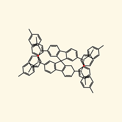 Cc1ccc(N(c2ccc(C)cc2)c2ccc3c(c2)C2(C4=C3C=CC(N(c3ccc(C)cc3)c3ccc(C)cc3)C4)c3cc(N(c4ccc(C)cc4)c4ccc(C)cc4)ccc3-c3ccc(N(c4ccc(C)cc4)c4ccc(C)cc4)cc32)cc1